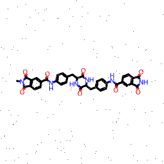 CN1C(=O)c2ccc(C(=O)Nc3ccc(CC4NC(=O)C(Cc5ccc(NC(=O)c6ccc7c(c6)C(=O)NC7=O)cc5)NC4=O)cc3)cc2C1=O